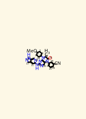 CO[C@H]1CC[C@H](N2c3nc(Nc4cc5cn[nH]c5cn4)ncc3N(c3cccc(C#N)c3)C(=O)[C@H]2C)CC1